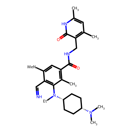 CCN(c1c(C)c(C(=O)NCc2c(C)cc(C)[nH]c2=O)cc(NC)c1C=N)[C@H]1CC[C@@H](N(C)C)CC1